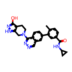 Cc1ccc(C(=O)NC2CC2)cc1-c1ccc2c(N3CCc4c(O)n[nH]c4C3)nncc2c1